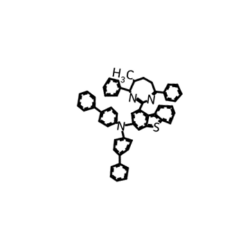 C[C@@H]1CC/C(c2ccccc2)=N\C(c2cc(N(c3ccc(-c4ccccc4)cc3)c3ccc(-c4ccccc4)cc3)cc3sc4ccccc4c23)=N/C1c1ccccc1